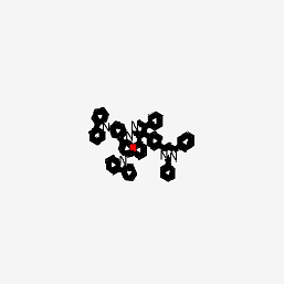 c1ccc(-c2cc(-c3ccc(-c4c(-c5ccccc5)cnc(-n5c6ccc(-n7c8ccccc8c8ccccc87)cc6c6cc(-n7c8ccccc8c8ccccc87)ccc65)c4-c4ccccc4)cc3)nc(-c3ccccc3)n2)cc1